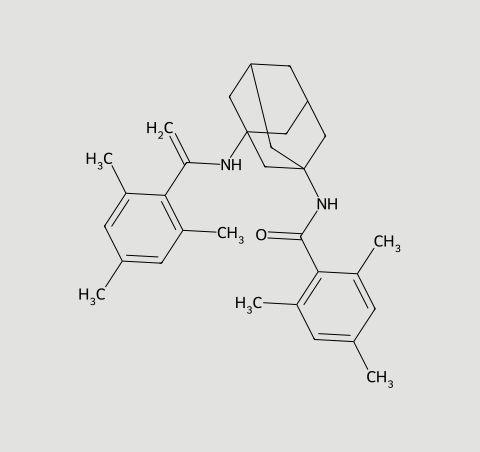 C=C(NC12CC3CC(C1)CC(NC(=O)c1c(C)cc(C)cc1C)(C3)C2)c1c(C)cc(C)cc1C